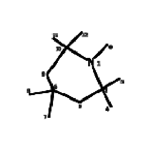 CN1C(C)(C)CC(C)(C)CC1(C)C